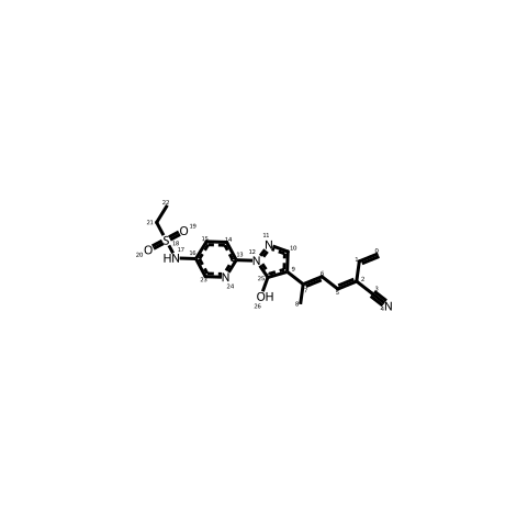 C=C/C(C#N)=C\C=C(/C)c1cnn(-c2ccc(NS(=O)(=O)CC)cn2)c1O